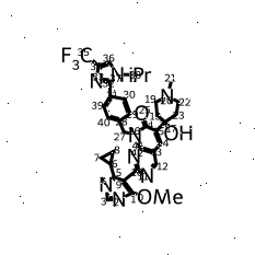 COc1ncnc(C2CC2)c1-c1ncc2cc(C3(O)CCN(C)CC3)c(=O)n(Cc3ccc(-c4nc(C(F)(F)F)cn4C(C)C)cc3)c2n1